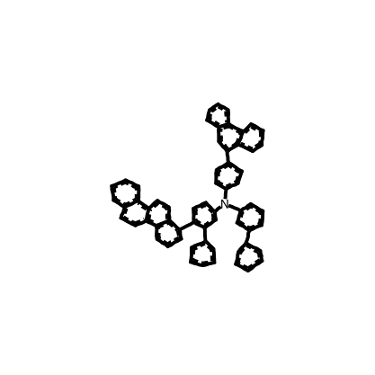 c1ccc(-c2cccc(N(c3ccc(-c4cc5ccccc5c5ccccc45)cc3)c3ccc(-c4cccc5c4ccc4c6ccccc6ccc54)c(-c4ccccc4)c3)c2)cc1